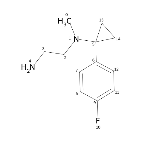 CN(CCN)C1(c2ccc(F)cc2)CC1